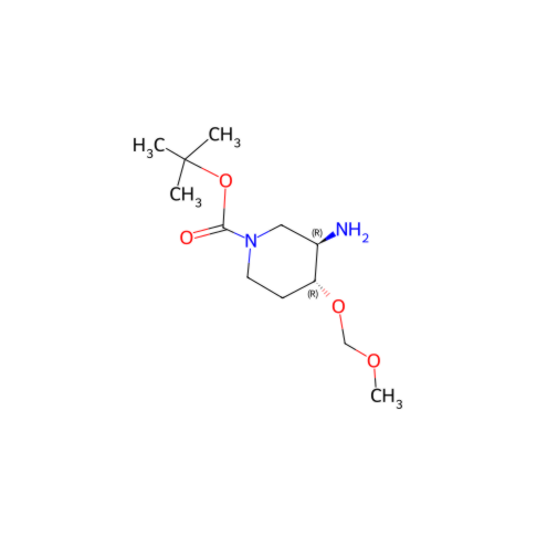 COCO[C@@H]1CCN(C(=O)OC(C)(C)C)C[C@H]1N